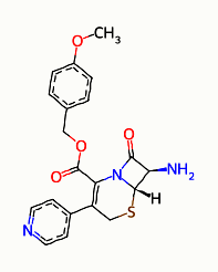 COc1ccc(COC(=O)C2=C(c3ccncc3)CS[C@H]3[C@H](N)C(=O)N23)cc1